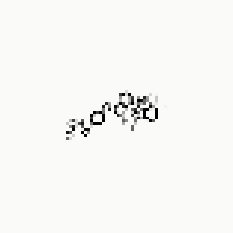 Cc1cccc(C)c1S(=O)(=O)c1cccc2c1CC[C@H]2Oc1ccc([C@H]2C[C@@H]2C(=O)O)cc1